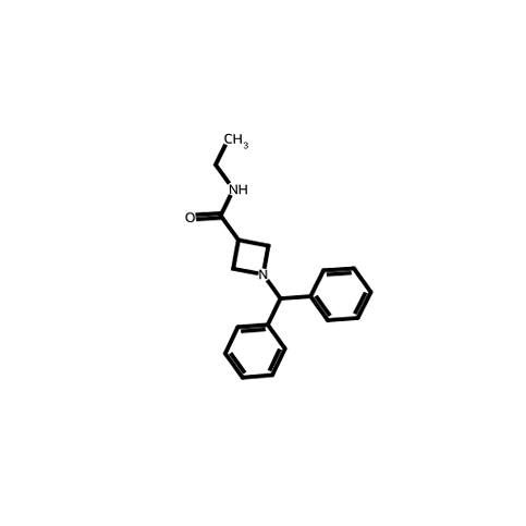 CCNC(=O)C1CN(C(c2ccccc2)c2ccccc2)C1